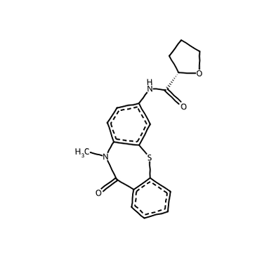 CN1C(=O)c2ccccc2Sc2cc(NC(=O)[C@@H]3CCCO3)ccc21